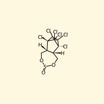 O=S1OC[C@@H]2[C@H](CO1)[C@]1(Cl)C(Cl)=C(Cl)[C@]2(Cl)C1(Cl)Cl